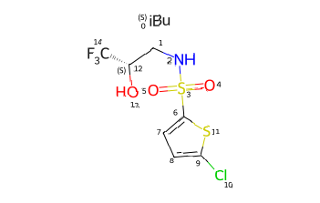 CC[C@H](C)C(NS(=O)(=O)c1ccc(Cl)s1)[C@H](O)C(F)(F)F